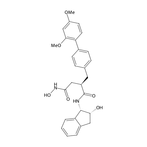 COc1ccc(-c2ccc(C[C@H](CC(=O)NO)C(=O)N[C@H]3c4ccccc4C[C@H]3O)cc2)c(OC)c1